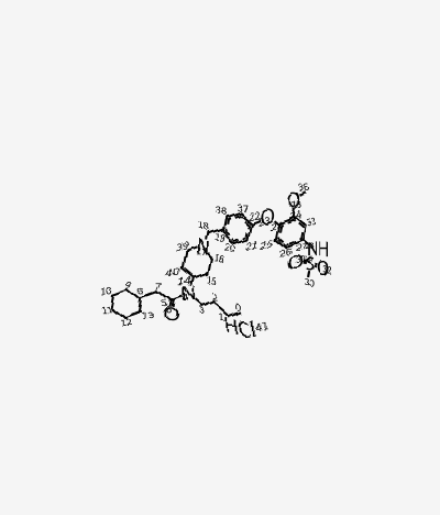 CCCCN(C(=O)CC1CCCCC1)C1CCN(Cc2ccc(Oc3ccc(NS(C)(=O)=O)cc3OC)cc2)CC1.Cl